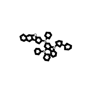 c1ccc(-c2cccc(-n3c4ccccc4c4c(N(c5ccccc5)c5ccccc5)cc(N(c5ccccc5)c5ccc6c(c5)oc5cc7ccccc7cc56)cc43)c2)cc1